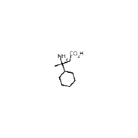 CC(N)(CC(=O)O)C1CCCCC1